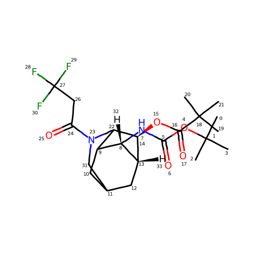 CC(C)(C)OC(=O)N[C@H]1C2CC3C[C@H]1[C@H](OC(=O)C(C)(C)C)C2N(C(=O)CC(F)(F)F)C3